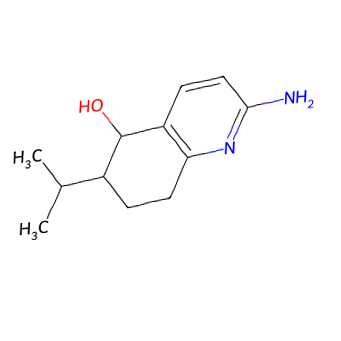 CC(C)C1CCc2nc(N)ccc2C1O